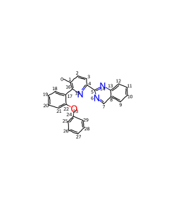 Cc1ccc(-c2ncc3ccccc3n2)nc1-c1ccccc1Oc1ccccc1